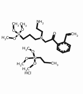 C=Cc1ccccc1C(=O)CN(CCN)CCC[Si](OC)(OC)OC.CCC[Si](OC)(OC)OC.Cl